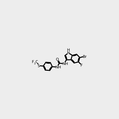 O=C(Nc1ccc(SC(F)(F)F)cc1)Nc1c[nH]c2cc(Br)c(F)cc12